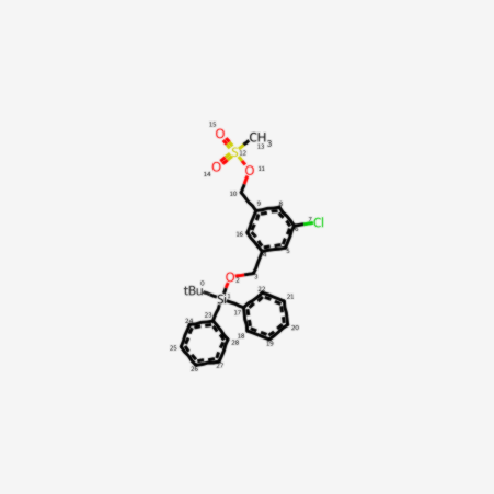 CC(C)(C)[Si](OCc1cc(Cl)cc(COS(C)(=O)=O)c1)(c1ccccc1)c1ccccc1